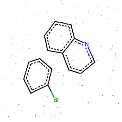 Brc1ccccc1.c1ccc2ncccc2c1